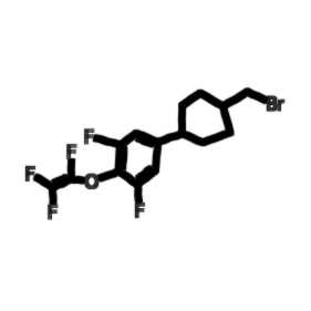 FC(F)=C(F)Oc1c(F)cc(C2CCC(CBr)CC2)cc1F